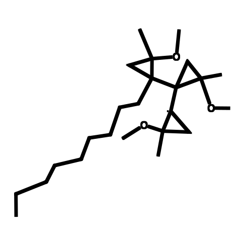 CCCCCCCCCC1(C2([C]3CC3(C)OC)CC2(C)OC)CC1(C)OC